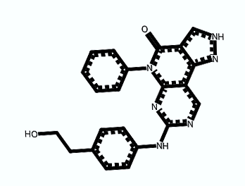 O=c1c2c[nH]nc2c2cnc(Nc3ccc(CCO)cc3)nc2n1-c1ccccc1